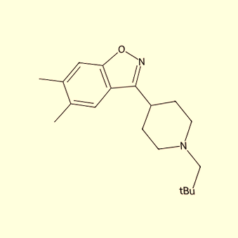 Cc1cc2onc(C3CCN(CC(C)(C)C)CC3)c2cc1C